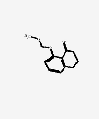 C=C1CCCc2cccc(OCOC)c21